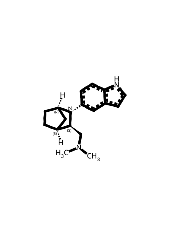 CN(C)C[C@H]1[C@H]2CC[C@H](C2)[C@@H]1c1ccc2[nH]ccc2c1